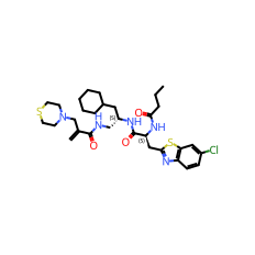 C=C(CN1CCSCC1)C(=O)NC[C@H](CC1CCCCC1)NC(=O)[C@H](Cc1nc2ccc(Cl)cc2s1)NC(=O)CCC